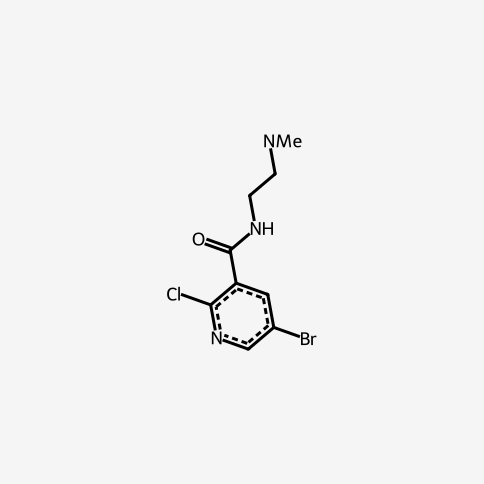 CNCCNC(=O)c1cc(Br)cnc1Cl